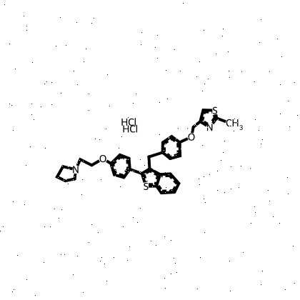 Cc1nc(COc2ccc(Cc3c(-c4ccc(OCCN5CCCC5)cc4)sc4ccccc34)cc2)cs1.Cl.Cl